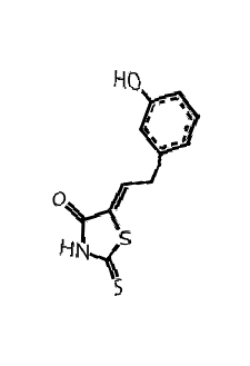 O=C1NC(=S)SC1=CCc1cccc(O)c1